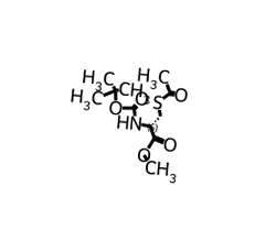 COC(=O)[C@@H](CSC(C)=O)NC(=O)OC(C)(C)C